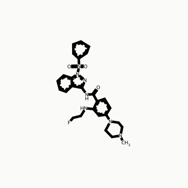 CN1CCN(c2ccc(C(=O)Nc3nn(S(=O)(=O)c4ccccc4)c4ccccc34)c(NCCF)c2)CC1